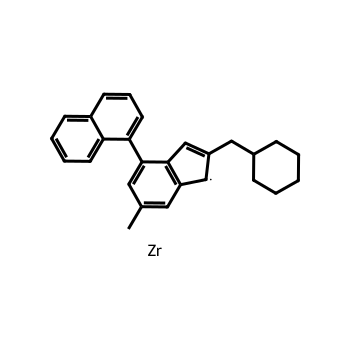 Cc1cc2c(c(-c3cccc4ccccc34)c1)C=C(CC1CCCCC1)[CH]2.[Zr]